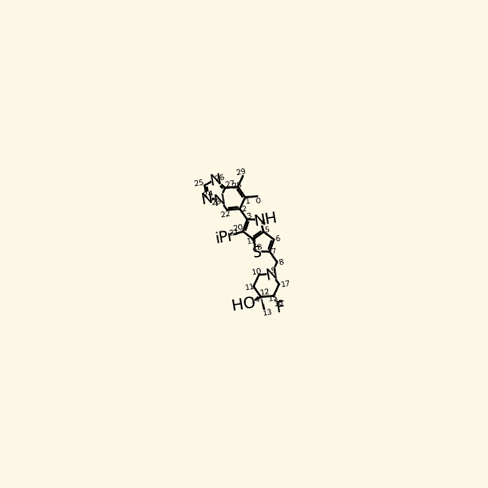 Cc1c(-c2[nH]c3cc(CN4CC[C@@](C)(O)[C@@H](F)C4)sc3c2C(C)C)cn2ncnc2c1C